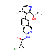 Cc1ccnc([C@H](C)O)c1-c1ccc2cc(NC(=O)C3C[C@@H]3F)ncc2c1